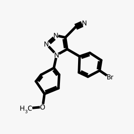 COc1ccc(-n2nnc(C#N)c2-c2ccc(Br)cc2)cc1